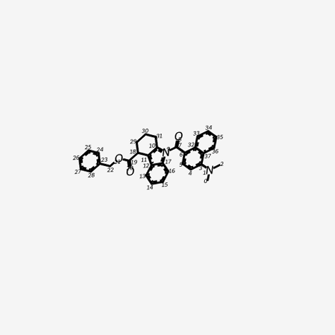 CN(C)c1ccc(C(=O)n2c3c(c4ccccc42)C(C(=O)OCc2ccccc2)CCC3)c2ccccc12